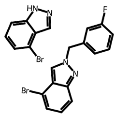 Brc1cccc2[nH]ncc12.Fc1cccc(Cn2cc3c(Br)cccc3n2)c1